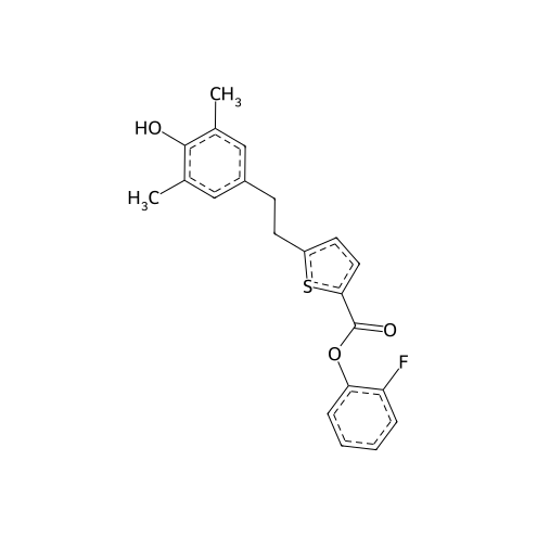 Cc1cc(CCc2ccc(C(=O)Oc3ccccc3F)s2)cc(C)c1O